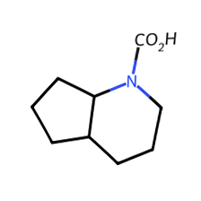 O=C(O)N1CCCC2CCCC21